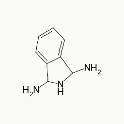 NC1NC(N)c2ccccc21